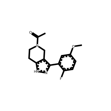 COc1ccc(F)c(-c2n[nH]c3c2CN(C(C)=O)CC3)c1